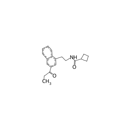 CCC(=O)c1cc(CCNC(=O)C2CCC2)c2ccccc2c1